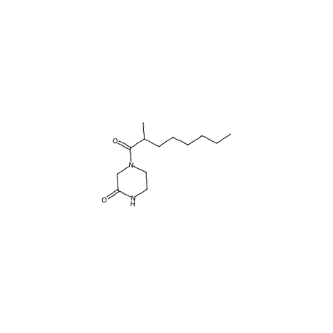 CCCCCCC(C)C(=O)N1CCNC(=O)C1